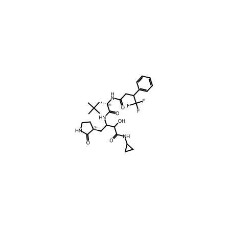 CC(C)(C)C[C@H](NC(=O)CC(c1ccccc1)C(F)(F)F)C(=O)NC(C[C@@H]1CCNC1=O)C(O)C(=O)NC1CC1